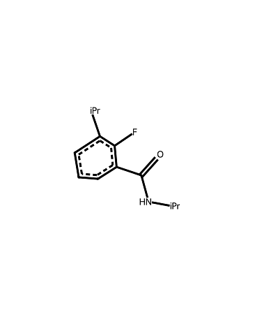 CC(C)NC(=O)c1cccc(C(C)C)c1F